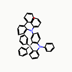 c1ccc(-c2ccccc2N(c2ccccc2)c2ccc3c(c2)[Si](c2ccccc2)(c2ccccc2)c2ccccc2N3c2ccccc2)cc1